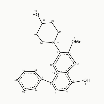 COc1cc2c(O)ccc(-c3ccccc3)c2cc1N1CCC(O)CC1